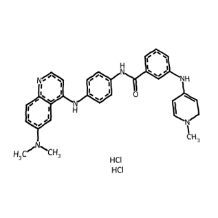 CN1C=CC(Nc2cccc(C(=O)Nc3ccc(Nc4ccnc5ccc(N(C)C)cc45)cc3)c2)=CC1.Cl.Cl